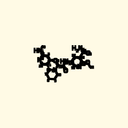 CNc1ccc([C@H]2CCCCN2C(=O)C(=O)Nc2cnc(OC)c(C(N)=O)c2)cn1